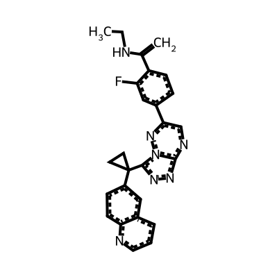 C=C(NCC)c1ccc(-c2cnc3nnc(C4(c5ccc6ncccc6c5)CC4)n3n2)cc1F